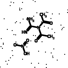 CC(=O)N(C(=N)N)C(C)=O.O=[N+]([O-])O